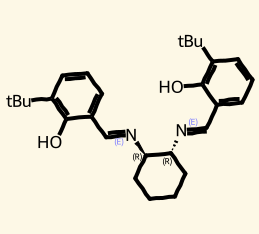 CC(C)(C)c1cccc(/C=N/[C@@H]2CCCC[C@H]2/N=C/c2cccc(C(C)(C)C)c2O)c1O